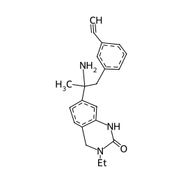 C#Cc1cccc(CC(C)(N)c2ccc3c(c2)NC(=O)N(CC)C3)c1